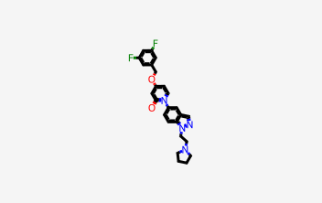 O=c1cc(OCc2cc(F)cc(F)c2)ccn1-c1ccc2c(cnn2CCN2CCCC2)c1